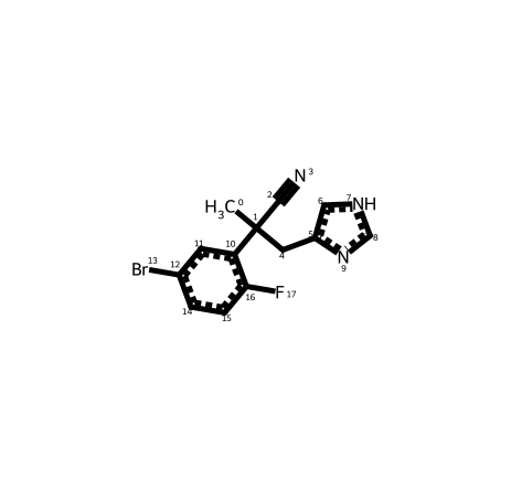 CC(C#N)(Cc1c[nH]cn1)c1cc(Br)ccc1F